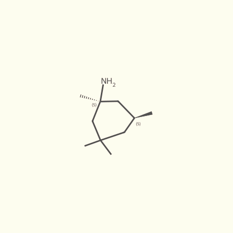 C[C@H]1CC(C)(C)C[C@@](C)(N)C1